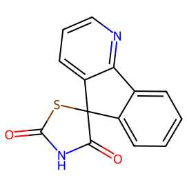 O=C1NC(=O)C2(S1)c1ccccc1-c1ncccc12